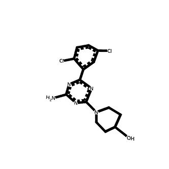 Nc1nc(-c2cc(Cl)ccc2Cl)nc(N2CCC(O)CC2)n1